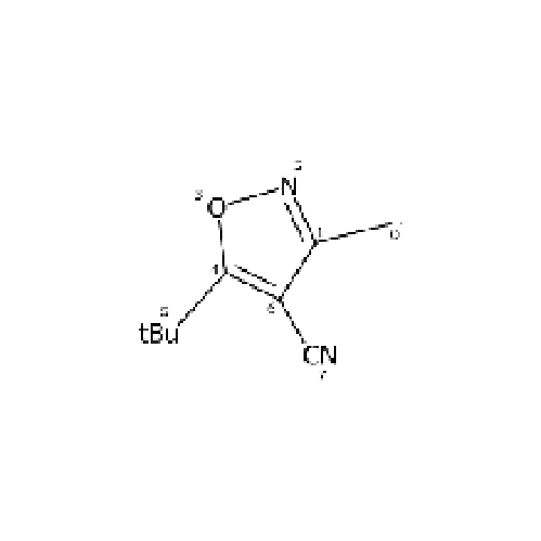 [CH2]c1noc(C(C)(C)C)c1C#N